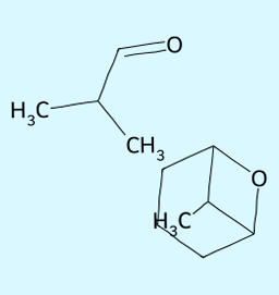 CC(C)C=O.CC1C2CCCC1O2